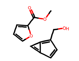 COC(=O)c1ccco1.OCc1ccc2cc1-2